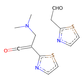 CN(C)CC(=C=O)c1nccs1.O=CCc1nccs1